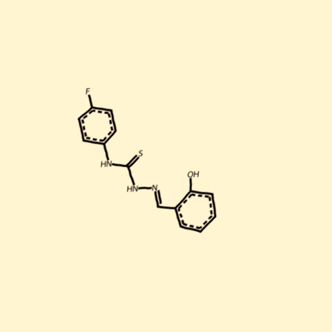 Oc1ccccc1/C=N/NC(=S)Nc1ccc(F)cc1